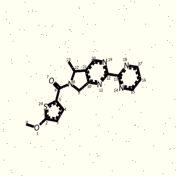 COc1ccc(C(=O)N2Cc3nc(-c4ncccn4)ncc3C2C)s1